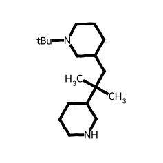 CC(C)(CC1CCCN(C(C)(C)C)C1)C1CCCNC1